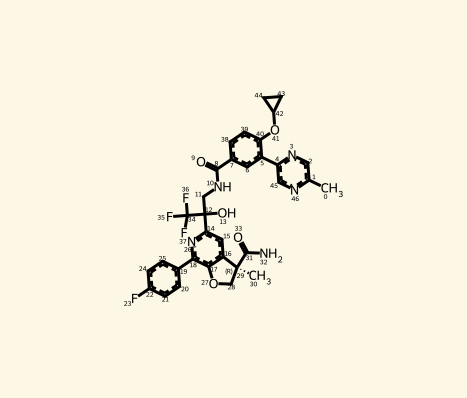 Cc1cnc(-c2cc(C(=O)NCC(O)(c3cc4c(c(-c5ccc(F)cc5)n3)OC[C@]4(C)C(N)=O)C(F)(F)F)ccc2OC2CC2)cn1